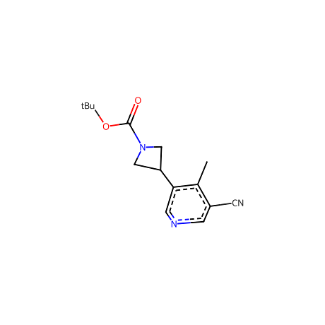 Cc1c(C#N)cncc1C1CN(C(=O)OC(C)(C)C)C1